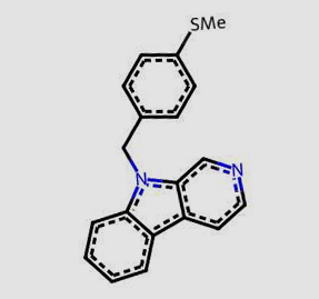 CSc1ccc(Cn2c3ccccc3c3ccncc32)cc1